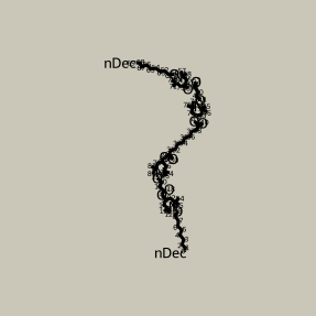 CCCCCCCCCCCCCCCCCCON1C(C)(C)CC(OC(=O)CCON2C(C)(C)CC(OC(=O)CCCCCCCCC(=O)OC3CC(C)(C)N(OCCC(=O)OC4CC(C)(C)N(OCCCCCCCCCCCCCCCCCC)C(C)(C)C4)C(C)(C)C3)CC2(C)C)CC1(C)C